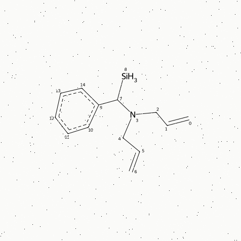 C=CCN(CC=C)C([SiH3])c1ccccc1